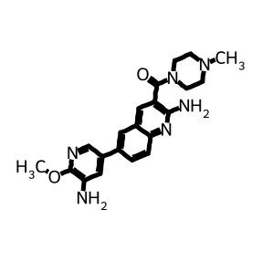 COc1ncc(-c2ccc3nc(N)c(C(=O)N4CCN(C)CC4)cc3c2)cc1N